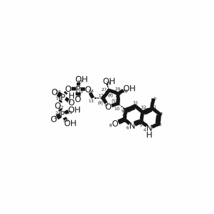 Cc1cc[nH]c2nc(=O)c([C@@H]3O[C@H](COP(=O)(O)OP(=O)(O)OP(=O)(O)O)[C@H](O)C3O)cc1-2